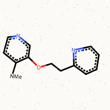 CNc1ccncc1OCCc1ccccn1